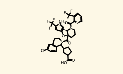 CCC[C@H]1N(C(=O)c2ncccc2C(F)(F)F)CCC[C@]1(Oc1csc(C(F)(F)F)c1)C(=O)N1CCc2cc(Cl)ccc2C1C1CCC(C(=O)O)C1